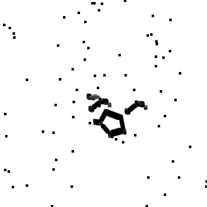 O=[N+]([O-])[O-].O=[N+]([O-])[O-].[Cu+2].c1c[nH]nn1